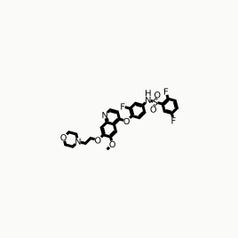 COc1cc2c(Oc3ccc(NS(=O)(=O)c4cc(F)ccc4F)cc3F)ccnc2cc1OCCN1CCOCC1